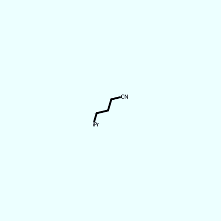 CC(C)[CH]CCC#N